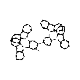 N#Cc1cc(-n2c3ccccc3c3ccccc32)c(-n2c3ccccc3c3ccccc32)cc1-c1ccc(-n2c3ccccc3c3ccccc32)c(-n2c3ccccc3c3ccccc32)n1